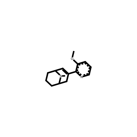 COc1cccnc1C1=CC2CCCC(C1)N2C